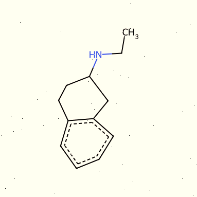 CCNC1CCc2ccccc2C1